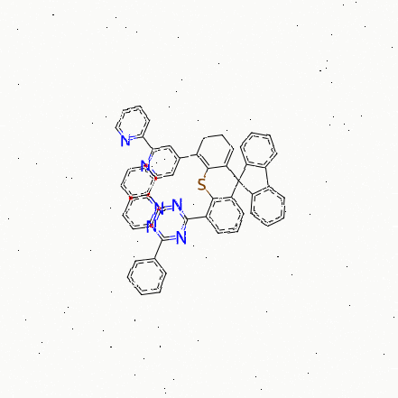 C1=C2C(=C(c3cc(-c4ccccn4)nc(-c4ccccn4)c3)CC1)Sc1c(-c3nc(-c4ccccc4)nc(-c4ccccc4)n3)cccc1C21c2ccccc2-c2ccccc21